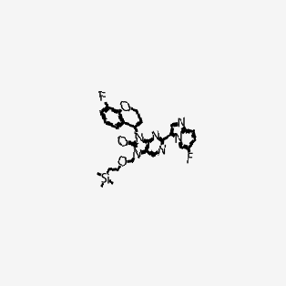 C[Si](C)(C)CCOCn1c(=O)n(C2CCOc3c(F)cccc32)c2nc(-c3cnc4ccc(F)cn34)ncc21